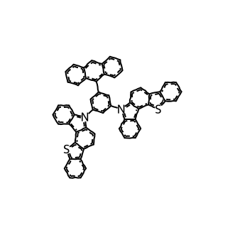 c1ccc2c(-c3cc(-n4c5ccccc5c5c6sc7ccccc7c6ccc54)cc(-n4c5ccccc5c5c6sc7ccccc7c6ccc54)c3)c3ccccc3cc2c1